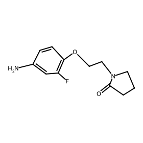 Nc1ccc(OCCN2CCCC2=O)c(F)c1